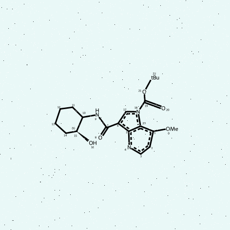 COc1ccnc2c(C(=O)NC3CCCC[C@@H]3O)cn(C(=O)OC(C)(C)C)c12